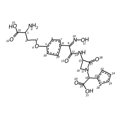 NC(CCOc1ccc(/C(=N/O)C(=O)NC2CN(C(C(=O)O)c3cccs3)C2=O)cc1)C(=O)O